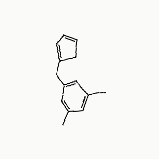 Cc1cc(C)cc(CC2=CC=CC2)c1